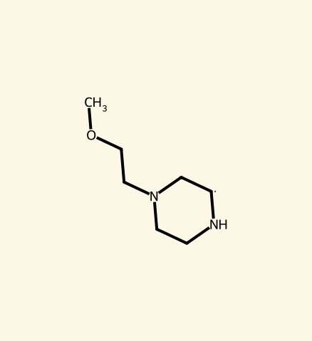 COCCN1C[CH]NCC1